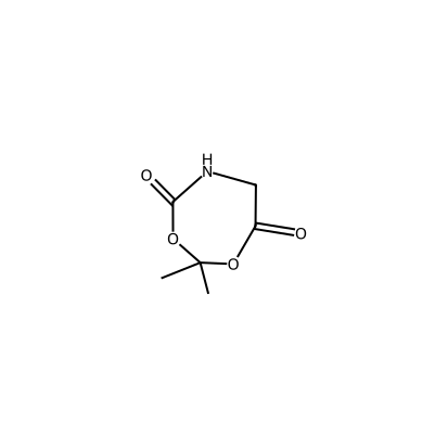 CC1(C)OC(=O)CNC(=O)O1